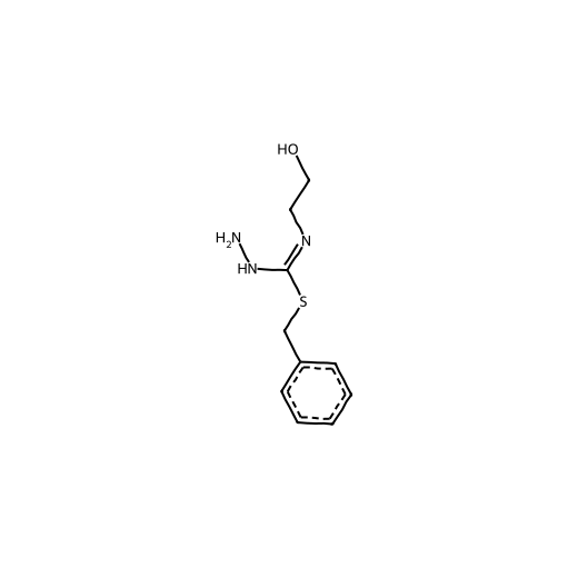 NNC(=NCCO)SCc1ccccc1